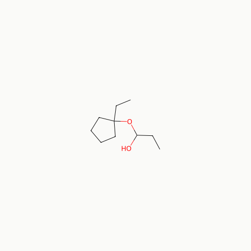 CCC(O)OC1(CC)CCCC1